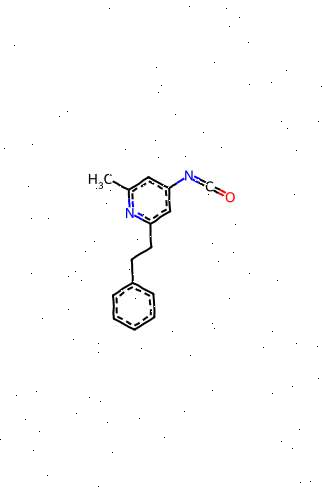 Cc1cc(N=C=O)cc(CCc2ccccc2)n1